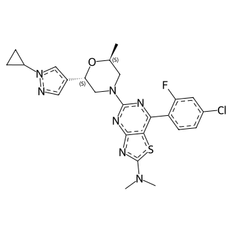 C[C@H]1CN(c2nc(-c3ccc(Cl)cc3F)c3sc(N(C)C)nc3n2)C[C@H](c2cnn(C3CC3)c2)O1